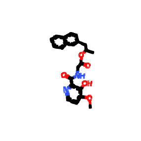 COc1ccnc(C(=O)NCC(=O)OC(C)Cc2ccc3ccccc3c2)c1O